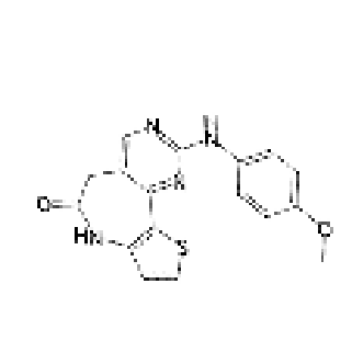 COc1ccc(Nc2ncc3c(n2)-c2sccc2NC(=O)C3)cc1